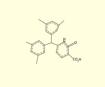 Cc1cc(C)cc(C(c2cc(C)cc(C)c2)c2ccc(C(=O)O)c(=O)[nH]2)c1